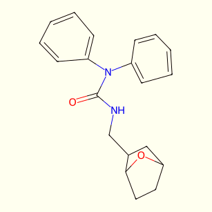 O=C(NCC1CC2CCC1O2)N(c1ccccc1)c1ccccc1